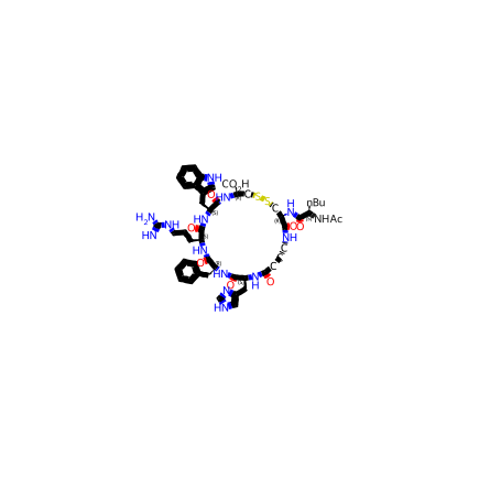 CCCC[C@H](NC(C)=O)C(=O)N[C@H]1CSSC[C@@H](C(=O)O)NC(=O)[C@H](Cc2c[nH]c3ccccc23)NC(=O)[C@H](CCCNC(=N)N)NC(=O)[C@@H](Cc2ccccc2)NC(=O)[C@H](Cc2c[nH]cn2)NC(=O)CCCNC1=O